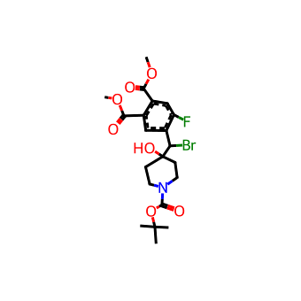 COC(=O)c1cc(F)c(C(Br)C2(O)CCN(C(=O)OC(C)(C)C)CC2)cc1C(=O)OC